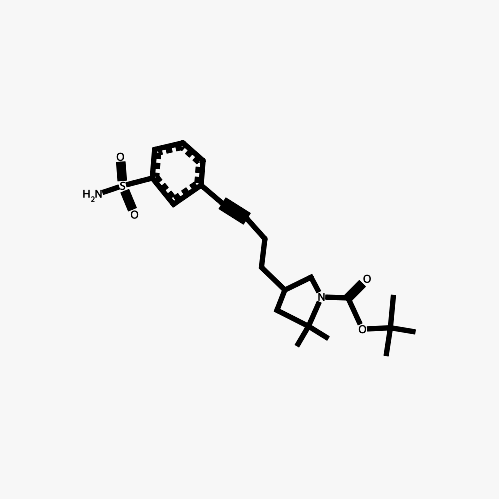 CC(C)(C)OC(=O)N1CC(CCC#Cc2cccc(S(N)(=O)=O)c2)CC1(C)C